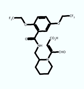 O=CC(=CC(=O)O)N1CCCCC1CNC(=O)c1cc(OCC(F)(F)F)ccc1OCC(F)(F)F